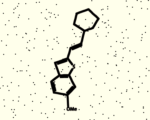 COc1ccc2cc(C=CC3CCCCC3)sc2c1